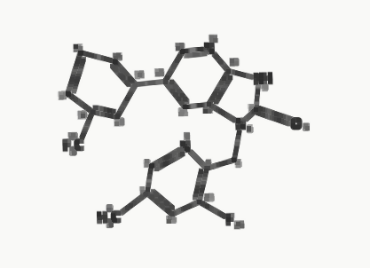 Cc1cnc(Cn2c(=O)[nH]c3ncc(-c4cccc(C(F)(F)F)c4)cc32)c(F)c1